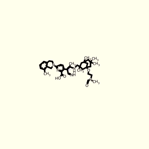 C/C(NCC1(C)CC2(C)CC(C)(C)CC(OCCN(C)C=O)(C1)C2)=C(/C=N)c1ccc(N2CCc3cccc(C)c3C2)nc1C(=O)O